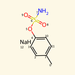 Cc1ccc(OS(N)(=O)=O)cc1.[NaH]